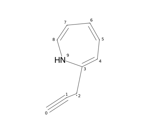 C#C[CH]C1=CC=CC=CN1